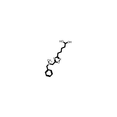 CN(Cc1ccccc1)Cc1nc(CCCCC(O)O)no1